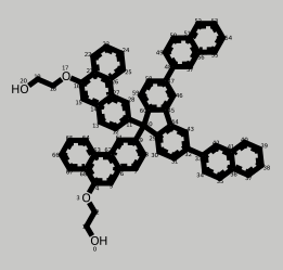 OCCOc1cc2ccc(C3(c4ccc5cc(OCCO)c6ccccc6c5c4)c4ccc(-c5ccc6ccccc6c5)cc4-c4cc(-c5ccc6ccccc6c5)ccc43)cc2c2ccccc12